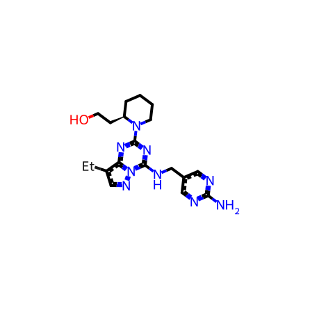 CCc1cnn2c(NCc3cnc(N)nc3)nc(N3CCCC[C@@H]3CCO)nc12